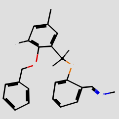 CCC(C)(Pc1ccccc1/C=N/C)c1cc(C)cc(C(C)(C)C)c1OCc1ccccc1